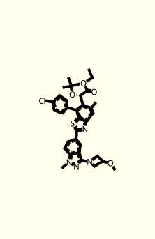 CCOC(=O)[C@@H](OC(C)(C)C)c1c(C)cc2nc(-c3ccc4c(c3)c(N3CC(OC)C3)nn4C)sc2c1-c1ccc(Cl)cc1